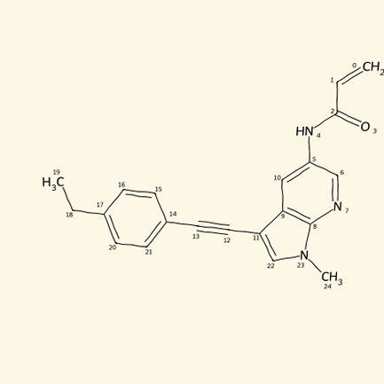 C=CC(=O)Nc1cnc2c(c1)c(C#Cc1ccc(CC)cc1)cn2C